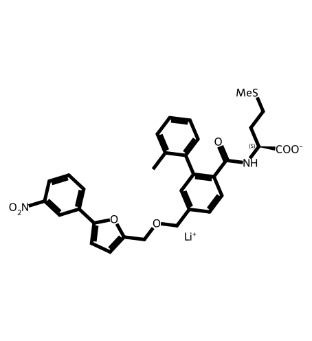 CSCC[C@H](NC(=O)c1ccc(COCc2ccc(-c3cccc([N+](=O)[O-])c3)o2)cc1-c1ccccc1C)C(=O)[O-].[Li+]